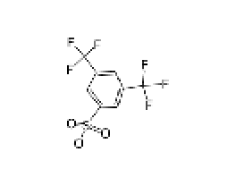 [O]S(=O)(=O)c1cc(C(F)(F)F)cc(C(F)(F)F)c1